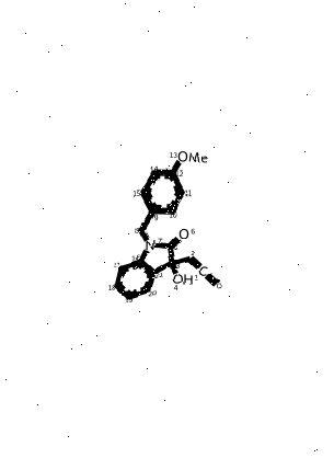 C=C=CC1(O)C(=O)N(Cc2ccc(OC)cc2)c2ccccc21